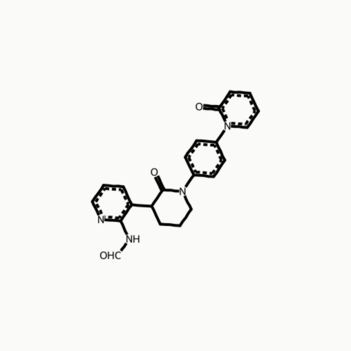 O=CNc1ncccc1C1CCCN(c2ccc(-n3ccccc3=O)cc2)C1=O